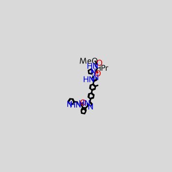 COC(=O)N[C@H](C(=O)N1CCC[C@H]1c1ncc(-c2ccc(-c3ccc(-c4cnc(C5C6CCC(C6)C5C(=O)NCc5cccnc5)[nH]4)cc3)cc2C)[nH]1)C(C)C